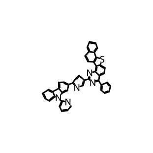 c1ccc(-c2nc(-c3ccc(-c4ccc5c6ccccc6n(-c6ccccn6)c5c4)nc3)nc3c2ccc2sc4c5ccccc5ccc4c23)cc1